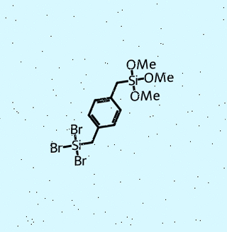 CO[Si](Cc1ccc(C[Si](Br)(Br)Br)cc1)(OC)OC